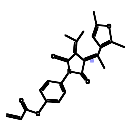 C=CC(=O)Oc1ccc(N2C(=O)C(=C(C)C)/C(=C(/C)c3cc(C)oc3C)C2=O)cc1